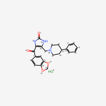 Cl.O=C1[N]C(C(=O)c2ccc3c(c2)OCO3)=C(CN2CCC(c3ccccc3)CC2)N1